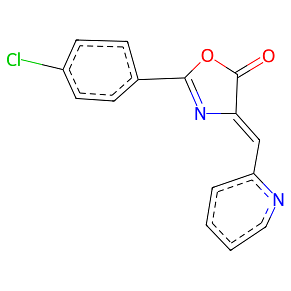 O=C1OC(c2ccc(Cl)cc2)=NC1=Cc1ccccn1